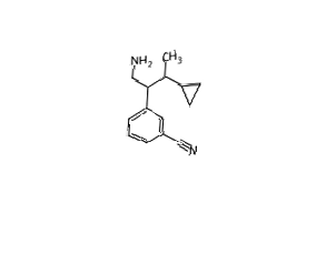 CC(C1CC1)C(CN)c1cccc(C#N)c1